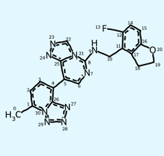 Cc1ccc(-c2cnc(NCc3c(F)ccc4c3CCO4)n3cnnc23)c2nnnn12